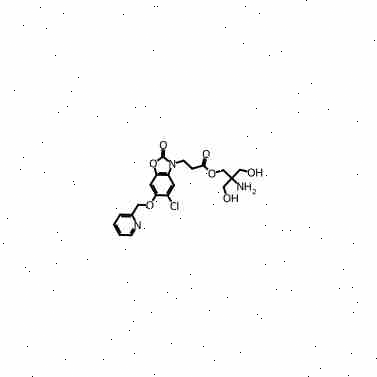 NC(CO)(CO)COC(=O)CCn1c(=O)oc2cc(OCc3ccccn3)c(Cl)cc21